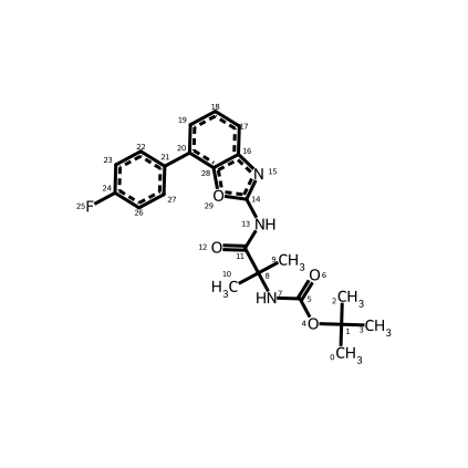 CC(C)(C)OC(=O)NC(C)(C)C(=O)Nc1nc2cccc(-c3ccc(F)cc3)c2o1